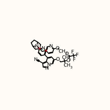 COc1ccc(CN2CC3CCC(C2)N3c2ccc(-c3cc(OCC(C)(C)OC(=O)C(F)(F)F)cn4ncc(C#N)c34)cn2)cn1